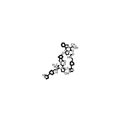 Cc1ncsc1-c1ccc(CNC(=O)[C@@H]2C[C@@H](Oc3ccc4c(c3)C(=O)N([C@H](C(=O)N3C[C@H](O)C[C@H]3C(=O)NCc3ccc(-c5ccn[nH]5)cc3)C(C)C)C4)CN2C(=O)[C@H]([C@H](C)O)N2Cc3ccccc3C2=O)cc1